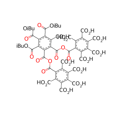 CC(C)COC(=O)c1c(C(=O)O)c(C(=O)OC(=O)c2c(C(=O)O)c(C(=O)O)c(C(=O)O)c(C(=O)O)c2C(=O)O)c(C(=O)OC(=O)c2c(C(=O)O)c(C(=O)O)c(C(=O)O)c(C(=O)O)c2C(=O)O)c(C(=O)OCC(C)C)c1C(=O)OCC(C)C